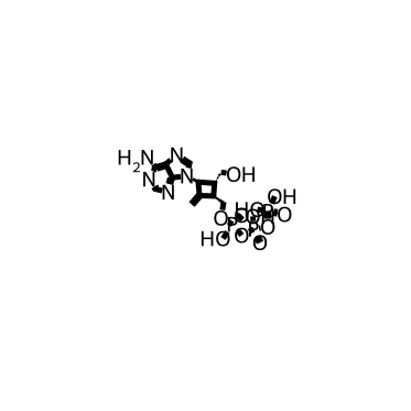 C=C1[C@@H](n2cnc3c(N)ncnc32)[C@H](CO)[C@H]1COP(=O)(O)OP(=O)(O)OP(=O)(O)O